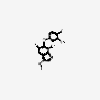 N#Cc1cc(Oc2c(F)cc3c(ncn3PI)c2Br)ccc1F